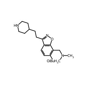 CC(C)COc1ccc2c(CCC3CCNCC3)noc2c1CN(C)C